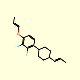 C/C=C/Oc1ccc(C2CCC(/C=C/C)CC2)c(F)c1F